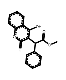 COC(=O)C(c1ccccc1)c1c(O)c2ccccc2oc1=O